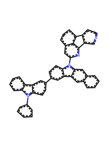 c1ccc(-n2c3ccccc3c3cc(-c4ccc5c(c4)c4cc6ccccc6cc4n5-c4cc5cccc6c5c(n4)-c4cnccc4-6)ccc32)cc1